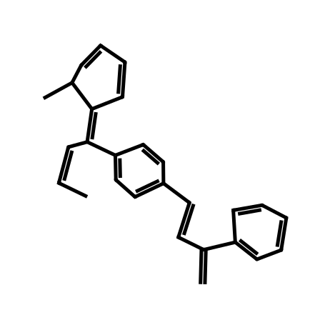 C=C(/C=C/c1ccc(C(/C=C\C)=C2\C=CC=CC2C)cc1)c1ccccc1